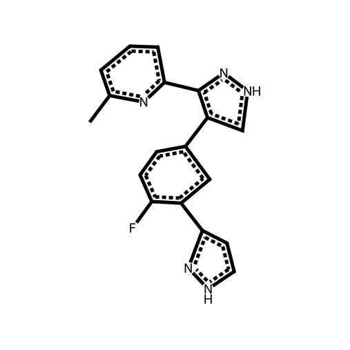 Cc1cccc(-c2n[nH]cc2-c2ccc(F)c(-c3cc[nH]n3)c2)n1